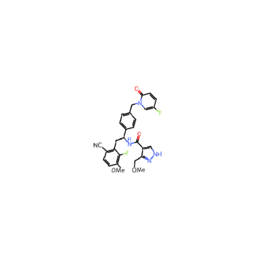 COCc1n[nH]cc1C(=O)NC(Cc1c(C#N)ccc(OC)c1F)c1ccc(Cn2cc(F)ccc2=O)cc1